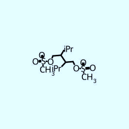 CC(C)C(COS(C)(=O)=O)C(COS(C)(=O)=O)C(C)C